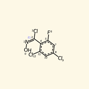 O/N=C(/Cl)c1c(F)cc(Cl)cc1Cl